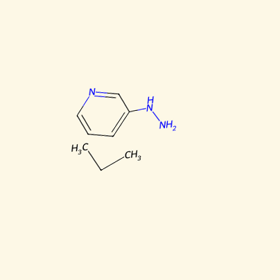 CCC.NNc1cccnc1